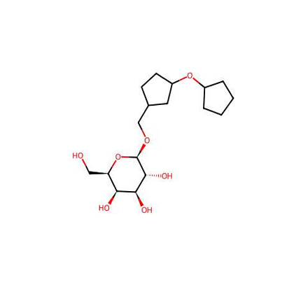 OC[C@H]1O[C@@H](OCC2CCC(OC3CCCC3)C2)[C@H](O)[C@@H](O)[C@H]1O